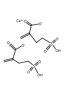 C=C(CCS(=O)(=O)O)C(=O)[O-].C=C(CCS(=O)(=O)O)C(=O)[O-].[Ca+2]